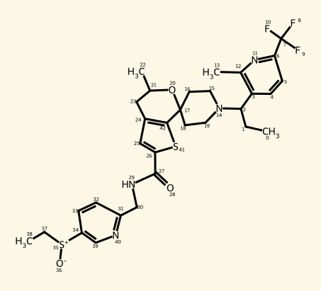 CCC(c1ccc(C(F)(F)F)nc1C)N1CCC2(CC1)OC(C)Cc1cc(C(=O)NCc3ccc([S+]([O-])CC)cn3)sc12